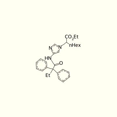 CCCCCCC(C(=O)OCC)n1cnc(NC(=O)C(CC)(c2ccccc2)c2ccccc2)c1